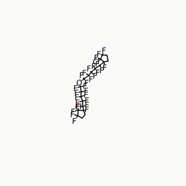 FC1(F)CCC(F)(C(F)(F)C(F)(F)C(F)(F)C(F)(F)C(F)(F)OC(F)(F)C(F)(F)C(F)(F)C(F)(F)C(F)(F)C2(F)CCC(F)(F)C2(F)Cl)C1(F)Cl